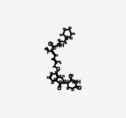 C=C/C(=C\C=C(/C)COc1cccc2c1CN(C1CCC(=O)NC1=O)C2=O)C(=O)NCCN1CCCCC1